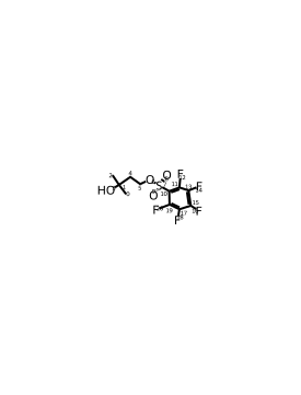 CC(C)(O)CCOS(=O)(=O)c1c(F)c(F)c(F)c(F)c1F